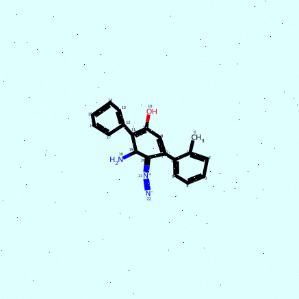 Cc1ccccc1C1=CC(O)=C(c2ccccc2)C(N)C1=[N+]=[N-]